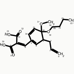 C=CCC1C=C(C=C(C(=O)O)C(=O)O)C=CC1(OC)OCCCC